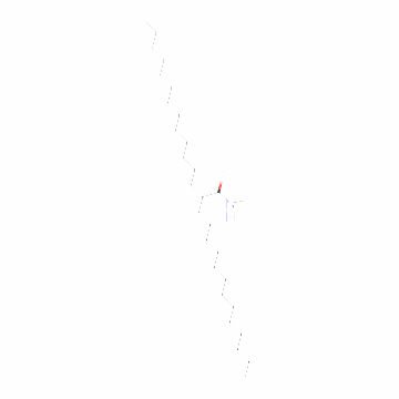 CCCCCCCCCCCCCC(CCCCCCCCCCCCC)C(=O)NCl